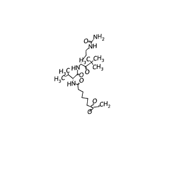 C=CS(=O)(=O)CCCCCC(=O)N[C@@H](C(=O)N[C@H](CCCNC(N)=O)C(=O)C(C)(C)C)C(C)C